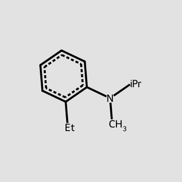 CCc1ccccc1N(C)C(C)C